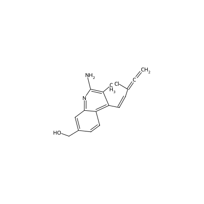 C=C=C(Cl)/C=C\c1c(C)c(N)nc2cc(CO)ccc12